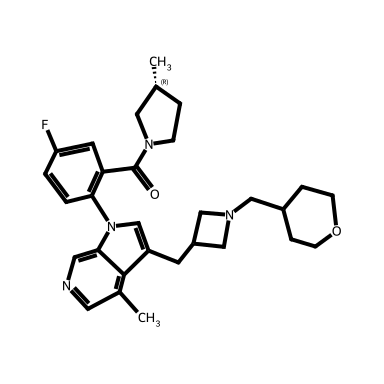 Cc1cncc2c1c(CC1CN(CC3CCOCC3)C1)cn2-c1ccc(F)cc1C(=O)N1CC[C@@H](C)C1